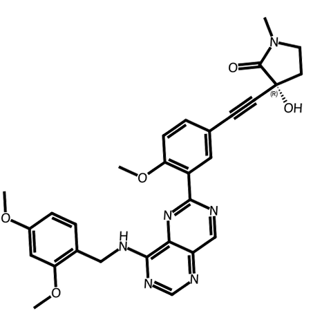 COc1ccc(CNc2ncnc3cnc(-c4cc(C#C[C@]5(O)CCN(C)C5=O)ccc4OC)nc23)c(OC)c1